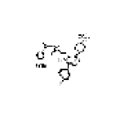 COc1ccc([C@@H]2CC2NC(=O)CCC[C@H](NC(=O)c2ccc(F)cc2)C(=O)N2CCN(S(C)(=O)=O)CC2)cc1